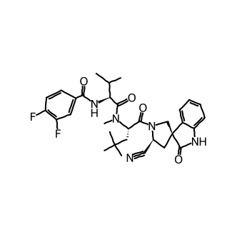 CC(C)[C@H](NC(=O)c1ccc(F)c(F)c1)C(=O)N(C)[C@@H](CC(C)(C)C)C(=O)N1C[C@]2(C[C@H]1C#N)C(=O)Nc1ccccc12